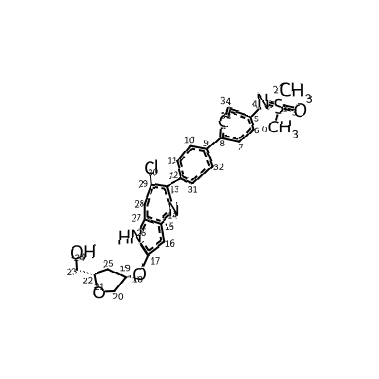 CS(C)(=O)=Nc1ccc(-c2ccc(-c3nc4cc(O[C@@H]5CO[C@H](CO)C5)[nH]c4cc3Cl)cc2)cc1